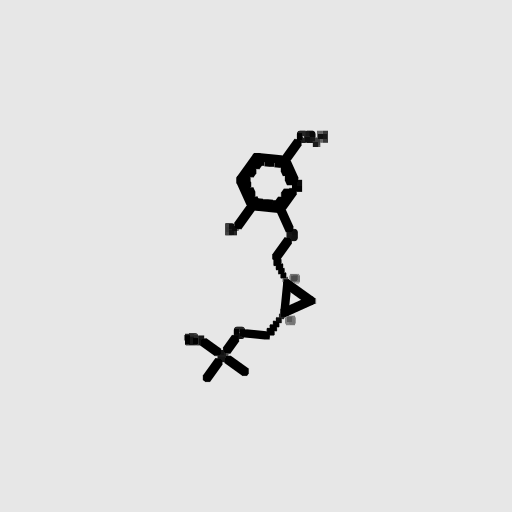 CC(C)(C)[Si](C)(C)OC[C@H]1C[C@H]1COc1nc(C(=O)O)ccc1Br